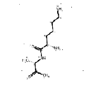 CC(=O)[C@H](C)NC(=O)[C@@H](N)CCCCN